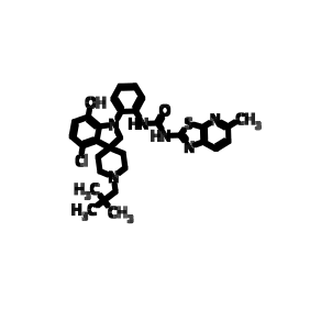 Cc1ccc2nc(NC(=O)Nc3ccccc3N3CC4(CCN(CC(C)(C)C)CC4)c4c(Cl)ccc(O)c43)sc2n1